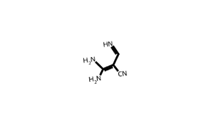 N#CC(C=N)=C(N)N